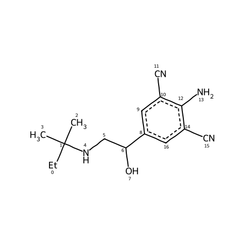 CCC(C)(C)NCC(O)c1cc(C#N)c(N)c(C#N)c1